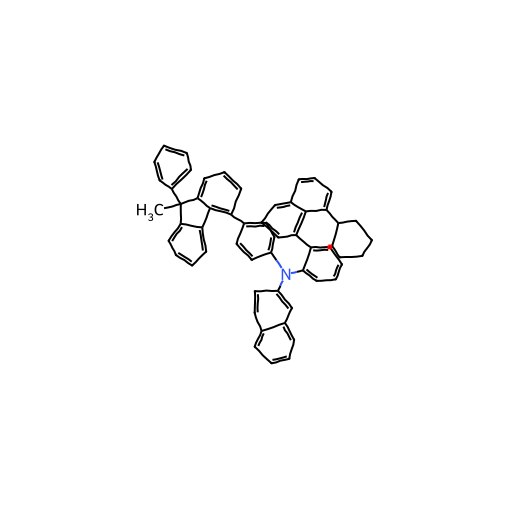 CC1(c2ccccc2)c2ccccc2-c2c(-c3ccc(N(c4ccc5ccccc5c4)c4ccccc4-c4cccc5cccc(C6CCCCC6)c45)cc3)cccc21